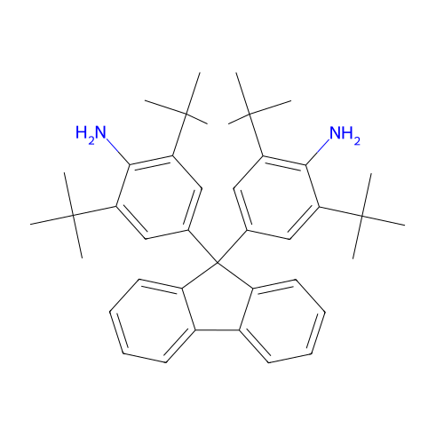 CC(C)(C)c1cc(C2(c3cc(C(C)(C)C)c(N)c(C(C)(C)C)c3)c3ccccc3-c3ccccc32)cc(C(C)(C)C)c1N